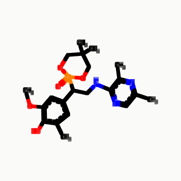 COc1cc(C(CNc2ncc(C)nc2C)P2(=O)OCC(C)(C)CO2)cc(C)c1O